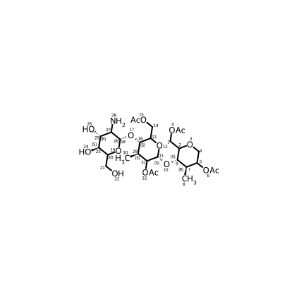 CC(=O)OCC1OCC(OC(C)=O)[C@@H](C)[C@@H]1O[C@H]1OC(COC(C)=O)[C@@H](O[C@@H]2OC(CO)[C@@H](O)[C@H](O)C2N)[C@H](C)C1OC(C)=O